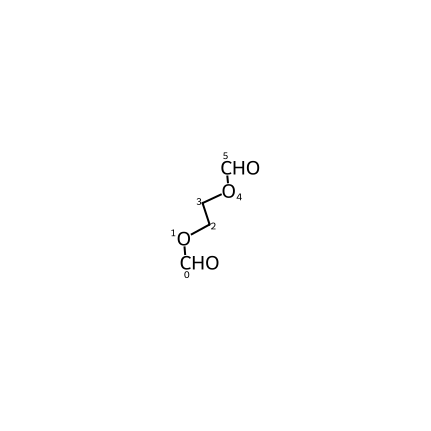 O=COCCOC=O